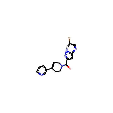 O=C(c1cc2ncc(Br)cn2n1)N1CC=C(c2cccnc2)CC1